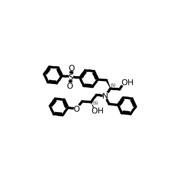 O=S(=O)(c1ccccc1)c1ccc(C[C@@H](CO)N(Cc2ccccc2)C[C@H](O)COc2ccccc2)cc1